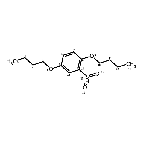 CCCCOc1ccc(OCCCC)c([SH](=O)=O)c1